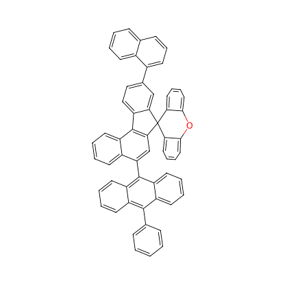 c1ccc(-c2c3ccccc3c(-c3cc4c(c5ccccc35)-c3ccc(-c5cccc6ccccc56)cc3C43c4ccccc4Oc4ccccc43)c3ccccc23)cc1